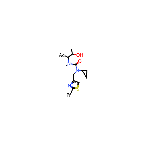 CC(=O)C(C(C)O)N(C)C(=O)N(Cc1csc(C(C)C)n1)C1CC1